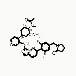 CC(=O)N(C)[C@@H]1[C@H](N)C[C@H](c2ccncc2Nc2ncc3ccc(-c4c(F)cc(CN5CCCC5=O)cc4F)nn23)C[C@@H]1C